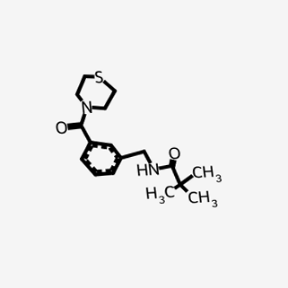 CC(C)(C)C(=O)NCc1cccc(C(=O)N2CCSCC2)c1